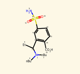 CCCCN(CCCC)C(CC)c1cc(S(N)(=O)=O)ccc1C(=O)O